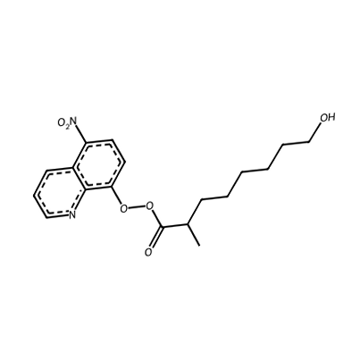 CC(CCCCCCO)C(=O)OOc1ccc([N+](=O)[O-])c2cccnc12